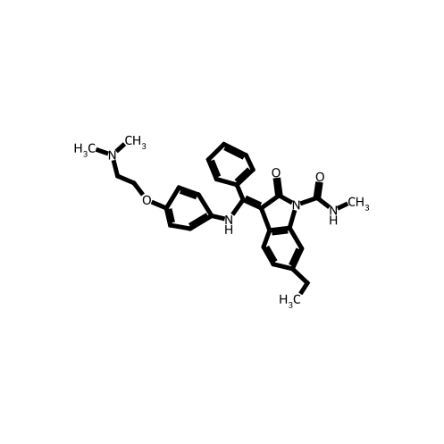 CCc1ccc2c(c1)N(C(=O)NC)C(=O)C2=C(Nc1ccc(OCCN(C)C)cc1)c1ccccc1